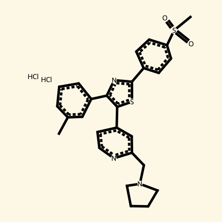 Cc1cccc(-c2nc(-c3ccc(S(C)(=O)=O)cc3)sc2-c2ccnc(CN3CCCC3)c2)c1.Cl.Cl